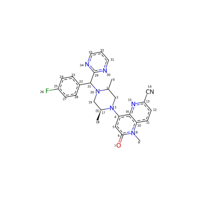 CC1CN(c2cc(=O)n(C)c3ccc(C#N)nc23)[C@@H](C)CN1C(c1ccc(F)cc1)c1ncccn1